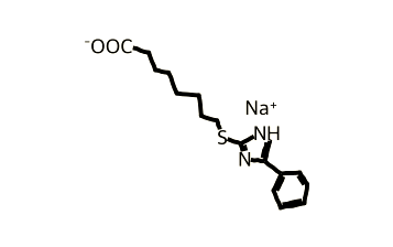 O=C([O-])CCCCCCCSc1nc(-c2ccccc2)c[nH]1.[Na+]